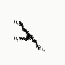 C=CC(=O)OCCCCCCOc1ccc(CCC(=O)Oc2ccc3c4ccc(OC(=O)CCc5ccc(OCCCCCCOC(=O)C=C)cc5)cc4c4nc5cc(OCCOCCOCC)ccc5nc4c3c2)cc1